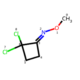 CON=C1C[CH]C1(Cl)Cl